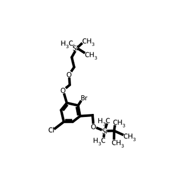 CC(C)(C)[Si](C)(C)OCc1cc(Cl)cc(OCOCC[Si](C)(C)C)c1Br